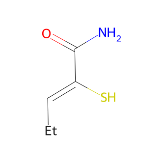 CCC=C(S)C(N)=O